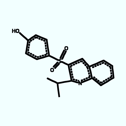 CC(C)c1nc2ccccc2cc1S(=O)(=O)c1ccc(O)cc1